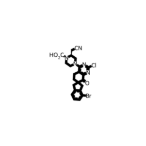 N#CC[C@H]1CN(c2nc(Cl)nc3c2CCC2(Cc4cccc(Br)c4C2)C3=O)CCN1C(=O)O